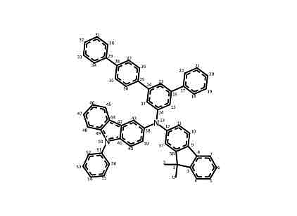 CC1(C)c2ccccc2-c2ccc(N(c3cc(-c4ccccc4)cc(-c4ccc(-c5ccccc5)cc4)c3)c3ccc4c(c3)c3ccccc3n4-c3ccccc3)cc21